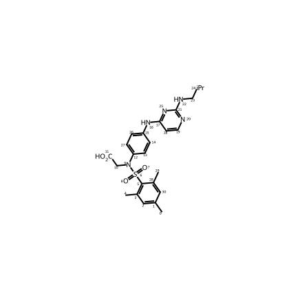 Cc1cc(C)c(S(=O)(=O)N(CC(=O)O)c2ccc(Nc3ccnc(NCC(C)C)n3)cc2)c(C)c1